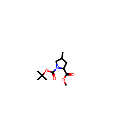 COC(=O)C1CC(C)CN1C(=O)OC(C)(C)C